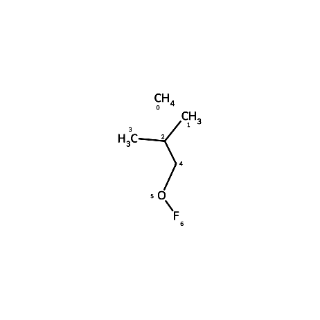 C.CC(C)COF